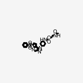 CC(=O)NCCOC(=O)NC1CCC(n2cnc3cnc4c(ccn4S(=O)(=O)c4ccccc4)c32)CC1